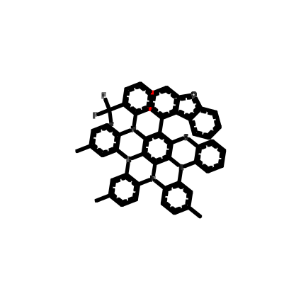 Cc1ccc2c(c1)B1c3ccccc3Sc3c1c1c4c(c3-c3cccc5oc6ccccc6c35)N(c3ccccc3C(F)(F)F)c3ccc(C)cc3B4c3cc(C)ccc3N21